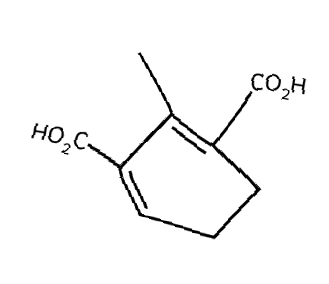 CC1=C(C(=O)O)CCC=C1C(=O)O